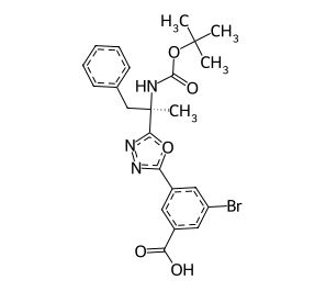 CC(C)(C)OC(=O)N[C@](C)(Cc1ccccc1)c1nnc(-c2cc(Br)cc(C(=O)O)c2)o1